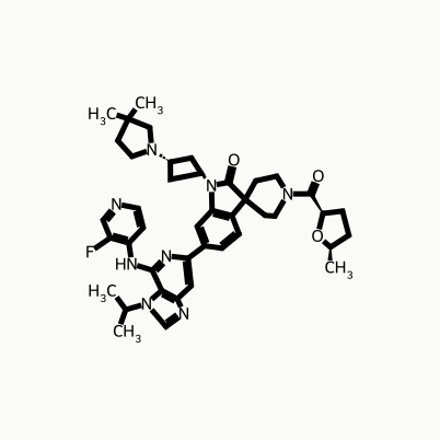 CC(C)n1cnc2cc(-c3ccc4c(c3)N([C@H]3C[C@@H](N5CCC(C)(C)C5)C3)C(=O)C43CCN(C(=O)[C@H]4CC[C@@H](C)O4)CC3)nc(Nc3ccncc3F)c21